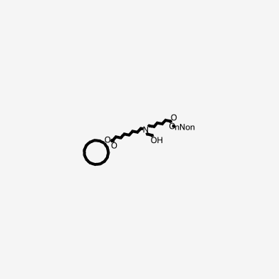 CCCCCCCCCOC(=O)CCCCCN(CCO)CCCCCCCC(=O)OC1CCCCCCCCCCCCCC1